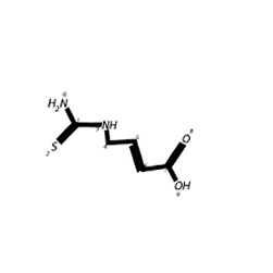 NC(=S)NCC=CC(=O)O